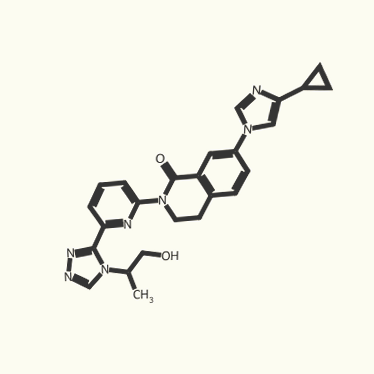 CC(CO)n1cnnc1-c1cccc(N2CCc3ccc(-n4cnc(C5CC5)c4)cc3C2=O)n1